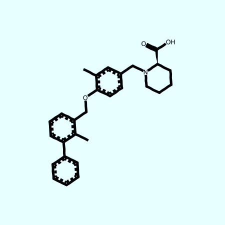 Cc1cc(CN2CCCC[C@@H]2C(=O)O)ccc1OCc1cccc(-c2ccccc2)c1C